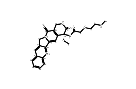 CC[C@@]1(OC(=O)COCCOC)C(=O)OCc2c1cc1n(c2=O)Cc2cc3ccccc3nc2-1